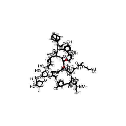 CCNCCOC(C)C(=O)NC(=O)C[C@@H]1NC(=O)[C@H](NC(=O)[C@@H](CC(C)C)NC)[C@H](O)c2ccc(c(Cl)c2)Oc2cc3cc(c2O[C@@H]2O[C@H](CO)[C@@H](O)[C@H](O)[C@H]2O[C@H]2C[C@](C)(N)[C@H](O)[C@H](C)O2)Oc2ccc(cc2Cl)[C@@H](O)[C@@H]2NC(=O)[C@H](NC(=O)[C@@H]3NC1=O)c1ccc(O)c(c1)-c1c(O)cc(O)cc1[C@@H](C(=O)NC1C3CC4CC(C3)CC1C4)NC2=O